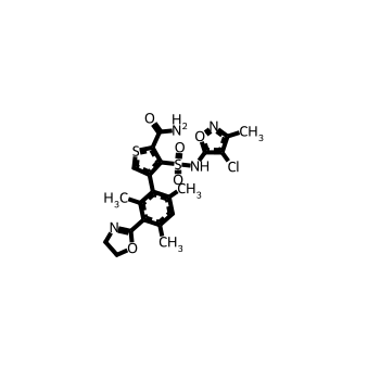 Cc1cc(C)c(-c2csc(C(N)=O)c2S(=O)(=O)Nc2onc(C)c2Cl)c(C)c1C1=NCCO1